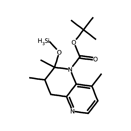 Cc1ccnc2c1N(C(=O)OC(C)(C)C)C(C)(O[SiH3])C(C)C2